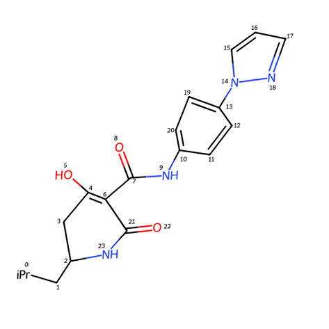 CC(C)CC1CC(O)=C(C(=O)Nc2ccc(-n3cccn3)cc2)C(=O)N1